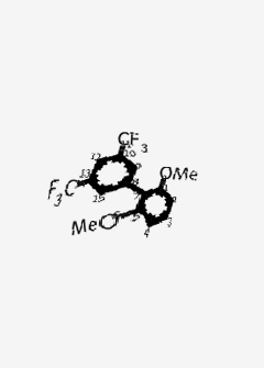 COc1cccc(OC)c1-c1cc(C(F)(F)F)cc(C(F)(F)F)c1